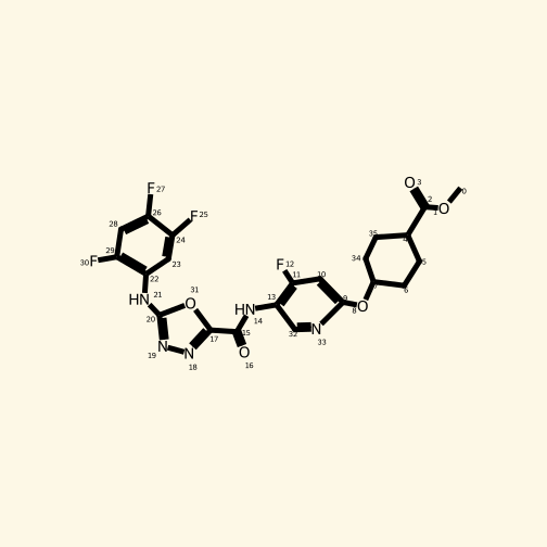 COC(=O)C1CCC(Oc2cc(F)c(NC(=O)c3nnc(Nc4cc(F)c(F)cc4F)o3)cn2)CC1